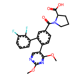 COc1ncc(-c2ccc(C(=O)N3CCCC3C(=O)O)cc2-c2cccc(F)c2F)c(OC)n1